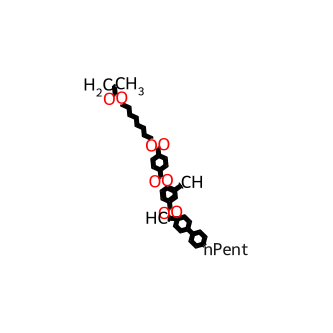 C#Cc1cc(C(=O)OC2(C#C)CCC(C3CCC(CCCCC)CC3)CC2)ccc1OC(=O)C1CCC(C(=O)OCCCCCCCCOC(=O)C(=C)C)CC1